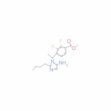 CCCCc1ncc(N)n1C(C)c1ccc(C(=O)OC)c(F)c1F